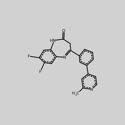 Cc1cc(-c2cccc(C3=Nc4cc(F)c(F)cc4NC(=O)C3)c2)ccn1